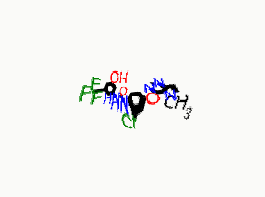 Cn1ccc2ncnc(Oc3ccc(NC(=O)Nc4cc(O)cc(C(F)(F)F)c4)c(Cl)c3)c21